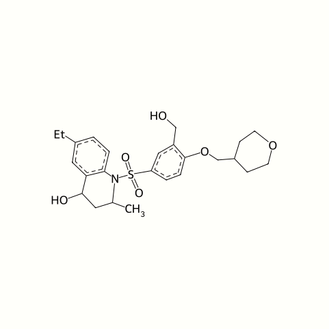 CCc1ccc2c(c1)C(O)CC(C)N2S(=O)(=O)c1ccc(OCC2CCOCC2)c(CO)c1